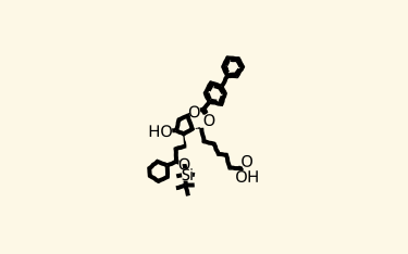 CC(C)(C)[Si](C)(C)OC(CC[C@H]1C(O)C[C@H](OC(=O)c2ccc(-c3ccccc3)cc2)[C@@H]1CCCCCCC(=O)O)C1CCCCC1